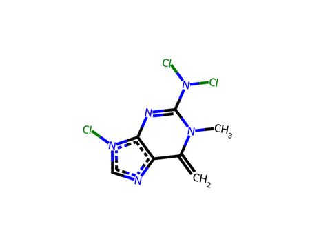 C=C1c2ncn(Cl)c2N=C(N(Cl)Cl)N1C